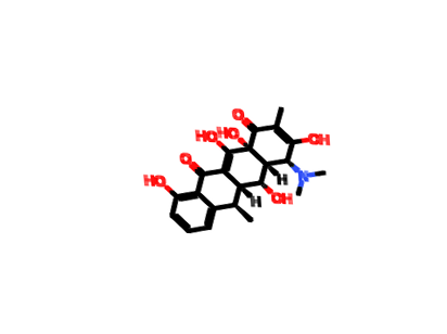 CC1=C(O)[C@@H](N(C)C)[C@@H]2[C@@H](O)[C@H]3C(=C(O)[C@]2(O)C1=O)C(=O)c1c(O)cccc1[C@@H]3C